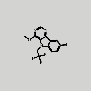 COc1ncnc2c3cc(I)ccc3n(CC(F)(F)F)c12